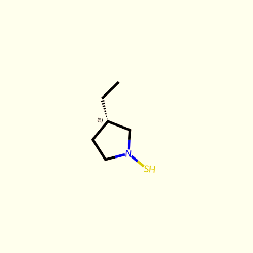 CC[C@H]1CCN(S)C1